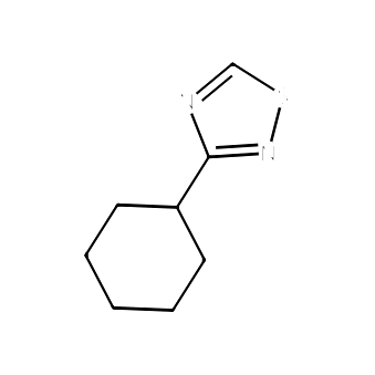 c1nc(C2CCCCC2)ns1